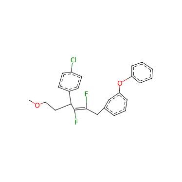 COCCC(/C(F)=C(\F)Cc1cccc(Oc2ccccc2)c1)c1ccc(Cl)cc1